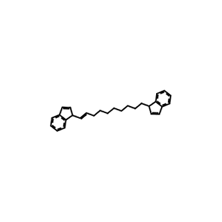 C(=CC1C=Cc2ccccc21)CCCCCCCCC1C=Cc2ccccc21